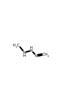 C=NNNC